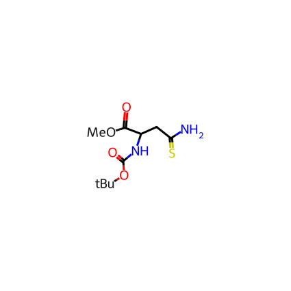 COC(=O)C(CC(N)=S)NC(=O)OC(C)(C)C